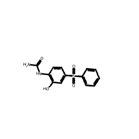 NC(=O)Nc1ccc(S(=O)(=O)c2ccccc2)cc1O